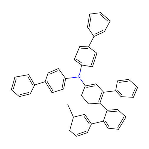 CC1C=C(c2ccccc2C2=C(c3ccccc3)C=C(N(c3ccc(-c4ccccc4)cc3)c3ccc(-c4ccccc4)cc3)CC2)C=CC1